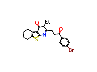 CCC1C(=O)c2c(sc3c2CCCC3)N=C1CCC(=O)c1ccc(Br)cc1